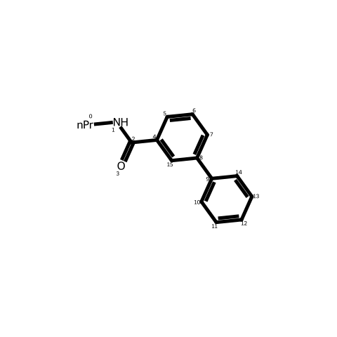 CCCNC(=O)c1cccc(-c2ccccc2)c1